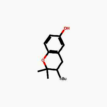 CCCCC1Cc2cc(O)ccc2OC1(C)C